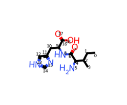 CCC(C)C(N)C(=O)NC(Cc1c[nH]cn1)C(=O)O